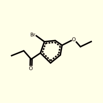 CCOc1ccc(C(=O)CC)c(Br)c1